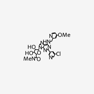 CNC(=O)C1OC(n2cnc3c(NCc4cc(OC)ccn4)nc(-c4cncc(Cl)c4)nc32)C(O)C1O